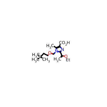 C=C(OCC)c1nc(C(=O)O)c(C)n1COCC[Si](C)(C)C